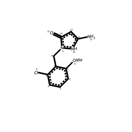 COc1cccc(Cl)c1Cn1[nH]c(N)cc1=O